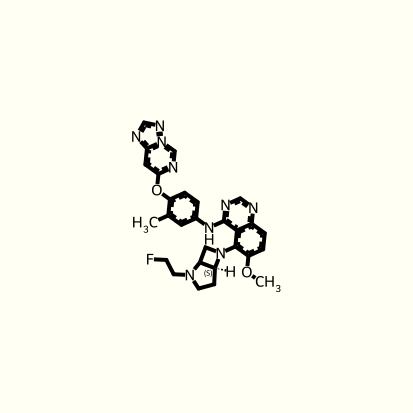 COc1ccc2ncnc(Nc3ccc(Oc4cc5ncnn5cn4)c(C)c3)c2c1N1CC2[C@@H]1CCN2CCF